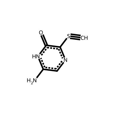 C#Sc1ncc(N)[nH]c1=O